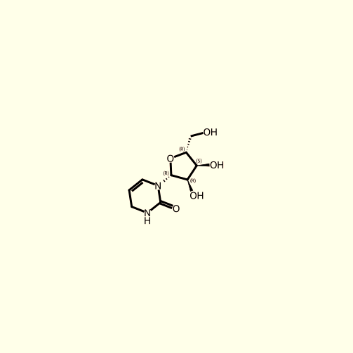 O=C1NCC=CN1[C@@H]1O[C@H](CO)[C@@H](O)[C@H]1O